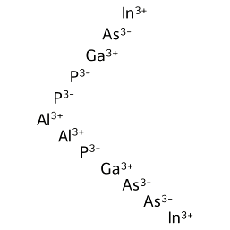 [Al+3].[Al+3].[As-3].[As-3].[As-3].[Ga+3].[Ga+3].[In+3].[In+3].[P-3].[P-3].[P-3]